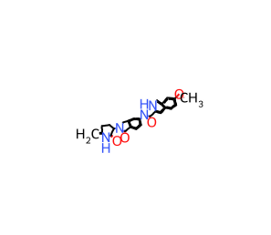 C=C1CCC(N2Cc3cc(NC(=O)c4cc5ccc(OC)cc5cn4)ccc3C2=O)C(=O)N1